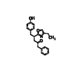 CCc1coc(C(CC(=O)Cc2ccccc2)Cc2ccc(O)cc2)n1